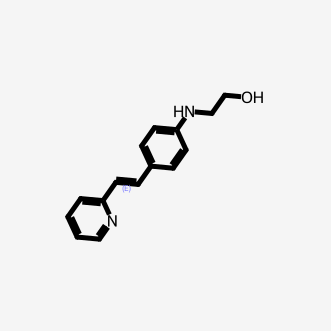 OCCNc1ccc(/C=C/c2ccccn2)cc1